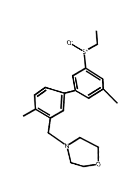 CC[S+]([O-])c1cc(C)cc(-c2ccc(C)c(CN3CCOCC3)c2)c1